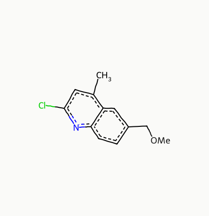 COCc1ccc2nc(Cl)cc(C)c2c1